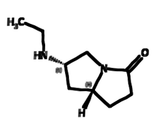 CCN[C@H]1C[C@H]2CCC(=O)N2C1